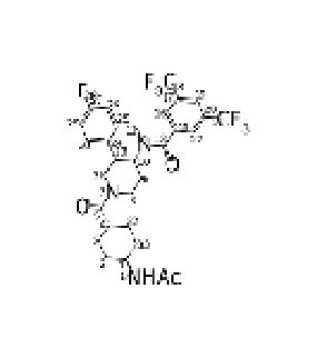 CC(=O)N[C@H]1CC[C@H](C(=O)N2CCC(N(C)C(=O)c3cc(C(F)(F)F)cc(C(F)(F)F)c3)C(c3ccc(F)cc3)C2)CC1